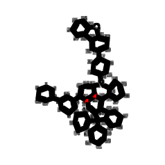 c1ccc(-c2cccc(-c3ccc(N(c4ccc(-c5ccc6oc7ccccc7c6c5)cc4)c4ccccc4-c4cccc5c4-c4ccccc4C5(c4ccccc4)c4ccccc4)cc3)c2)cc1